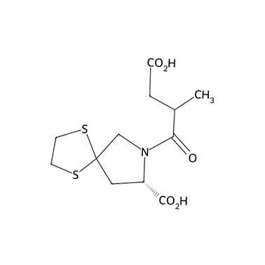 CC(CC(=O)O)C(=O)N1CC2(C[C@H]1C(=O)O)SCCS2